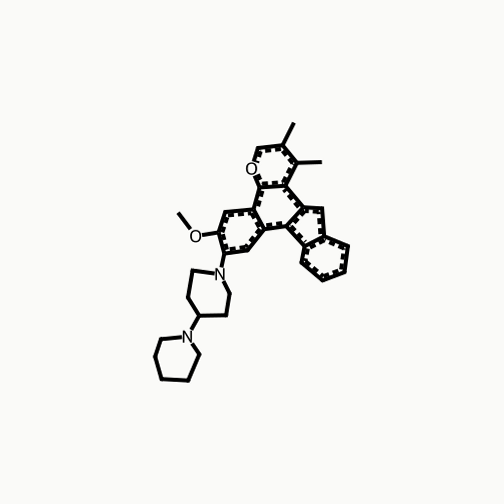 COc1cc2c(cc1N1CCC(N3CCCCC3)CC1)c1c3ccccc3cc1c1c(C)c(C)coc21